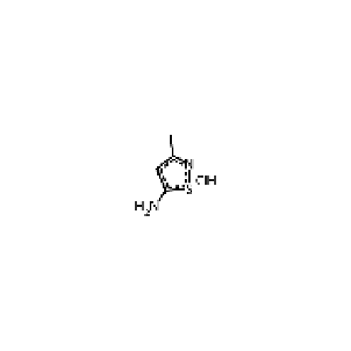 Cc1cc(N)sn1.Cl